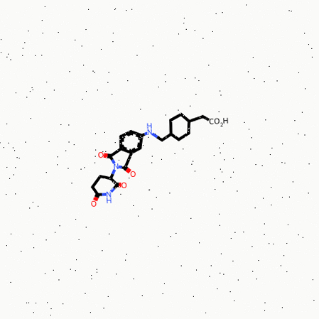 O=C(O)CC1CCC(CNc2ccc3c(c2)C(=O)N(C2CCC(=O)NC2=O)C3=O)CC1